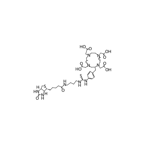 O=C(O)CN1CCN(CC(=O)O)CCN(CC(=O)O)C(Cc2ccc(NC(=S)NCCCCNC(=O)CCCC[C@@H]3SC[C@@H]4NC(=O)N[C@@H]43)cc2)CN(CC(=O)O)CC1